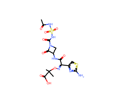 CC(=O)NS(=O)(=O)NC(=O)N1CC(NC(=O)/C(=N\OC(C)(C)C(=O)O)c2csc(N)n2)C1=O